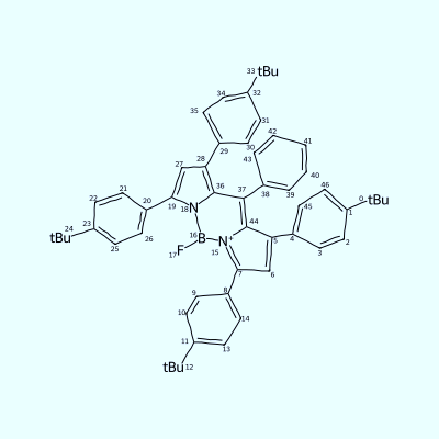 CC(C)(C)c1ccc(C2=CC(c3ccc(C(C)(C)C)cc3)=[N+]3B(F)n4c(-c5ccc(C(C)(C)C)cc5)cc(-c5ccc(C(C)(C)C)cc5)c4C(c4ccccc4)=C23)cc1